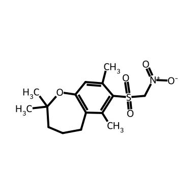 Cc1cc2c(c(C)c1S(=O)(=O)C[N+](=O)[O-])CCCC(C)(C)O2